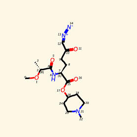 CO[C@H](C)C(=O)N[C@@H](CCC(=O)C=[N+]=[N-])C(=O)OC1CCN(C)CC1